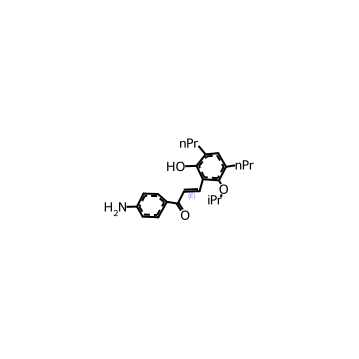 CCCc1cc(CCC)c(OC(C)C)c(/C=C/C(=O)c2ccc(N)cc2)c1O